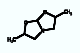 CC1CN2CC(C)OC2O1